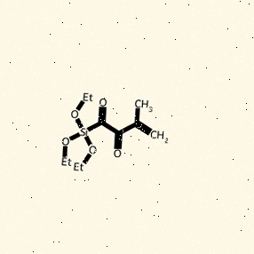 C=C(C)C(=O)C(=O)[Si](OCC)(OCC)OCC